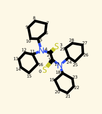 S=C(C(=S)N(C1CCCCC1)C1CCCCC1)N(C1CCCCC1)C1CCCCC1